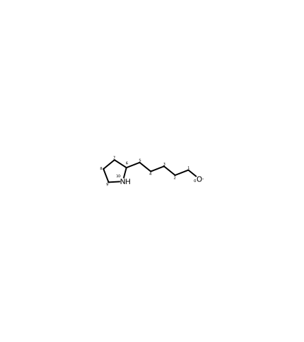 [O]CCCCCC1CCCN1